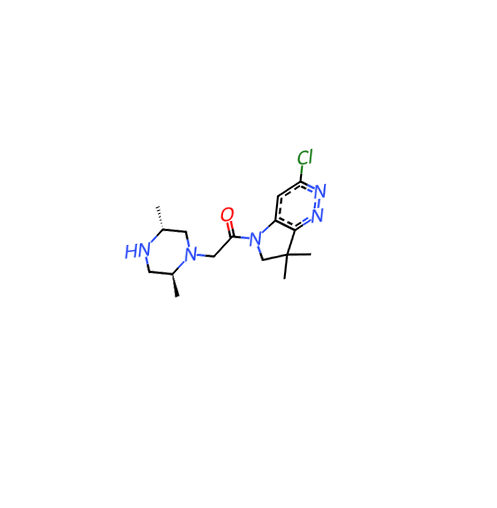 C[C@@H]1CN(CC(=O)N2CC(C)(C)c3nnc(Cl)cc32)[C@@H](C)CN1